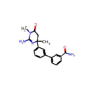 CN1C(=O)CC(C)(c2cccc(-c3cccc(C(N)=O)c3)c2)N=C1N